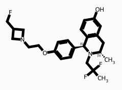 C[C@H]1Cc2cc(O)ccc2[C@H](c2ccc(OCCN3CC(CF)C3)cc2)N1CC(C)(F)F